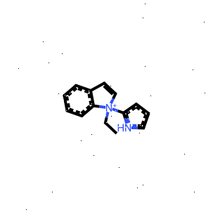 CC[N+]1(c2ccc[nH]2)C=Cc2ccccc21